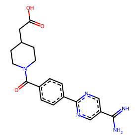 N=C(N)c1cnc(-c2ccc(C(=O)N3CCC(CC(=O)O)CC3)cc2)nc1